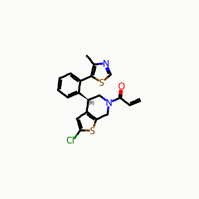 C=CC(=O)N1Cc2sc(Cl)cc2[C@@H](c2ccccc2-c2scnc2C)C1